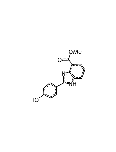 COC(=O)c1cccc2[nH]c(-c3ccc(O)cc3)nc12